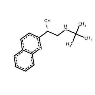 CC(C)(C)NC[C@@H](O)c1ccc2ccccc2n1